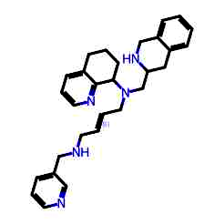 C(=C\CN(CC1Cc2ccccc2CN1)C1CCCc2cccnc21)/CNCc1cccnc1